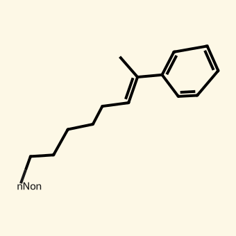 CCCCCCCCCCCCCCC=C(C)c1ccccc1